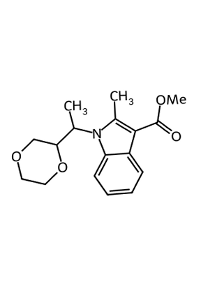 COC(=O)c1c(C)n(C(C)C2COCCO2)c2ccccc12